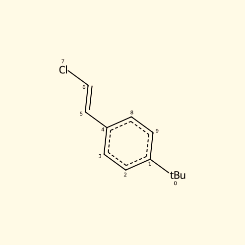 CC(C)(C)c1ccc(C=CCl)cc1